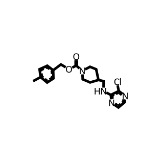 Cc1ccc(COC(=O)N2CCC(CNc3nccnc3Cl)CC2)cc1